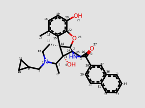 CCC[C@@]1(O)C(C)N(CC2CC2)CC[C@@]12c1c(C)ccc(O)c1O[C@H]2NC(=O)c1ccc2ccccc2c1